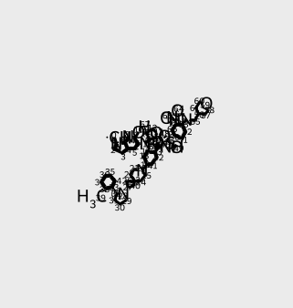 [CH2]n1ccc2cc3c(nc21)O[C@@H]1COC[C@H]1N3c1cc(N2CCC3(CC2)CC(N2CCC[C@H]2c2ccccc2C)C3)ccc1C(=O)NS(=O)(=O)c1ccc(NCC2CCOCC2)c([N+](=O)[O-])c1